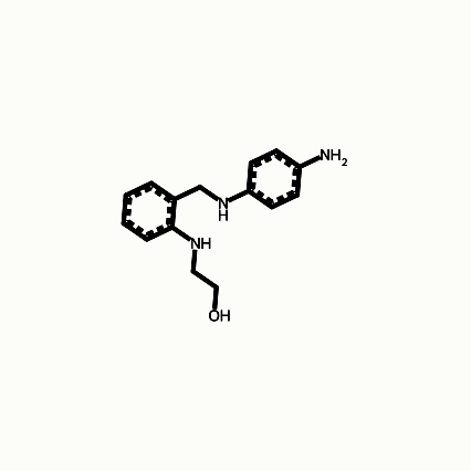 Nc1ccc(NCc2ccccc2NCCO)cc1